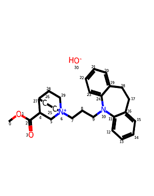 COC(=O)C1C[N+]2(CCCN3c4ccccc4CCc4ccccc43)CCC1CC2.[OH-]